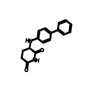 O=C1CCC(Nc2ccc(-c3ccccc3)cc2)C(=O)N1